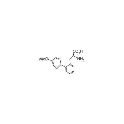 COc1ccc(-c2ccccc2CC(N)C(=O)O)cc1